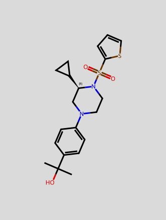 CC(C)(O)c1ccc(N2CCN(S(=O)(=O)c3cccs3)[C@H](C3CC3)C2)cc1